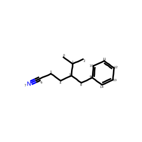 CC(C)C(CCC#N)Cc1ccccc1